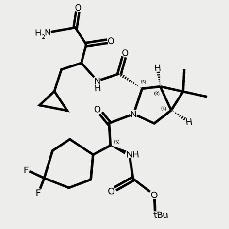 CC(C)(C)OC(=O)N[C@H](C(=O)N1C[C@H]2[C@@H]([C@H]1C(=O)NC(CC1CC1)C(=O)C(N)=O)C2(C)C)C1CCC(F)(F)CC1